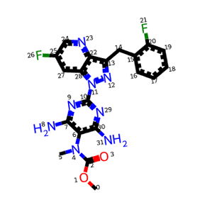 COC(=O)N(C)c1c(N)nc(-n2nc(Cc3ccccc3F)c3ncc(F)cc32)nc1N